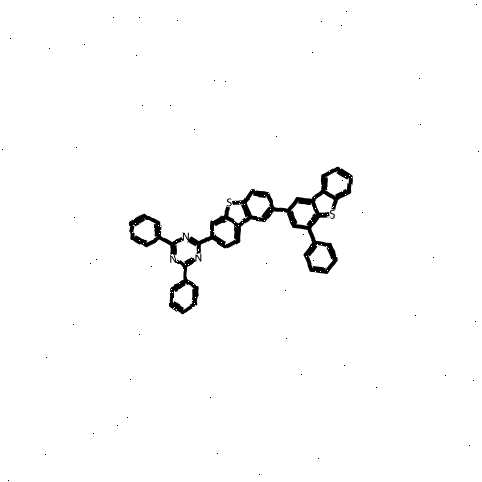 c1ccc(-c2nc(-c3ccccc3)nc(-c3ccc4c(c3)sc3ccc(-c5cc(-c6ccccc6)c6sc7ccccc7c6c5)cc34)n2)cc1